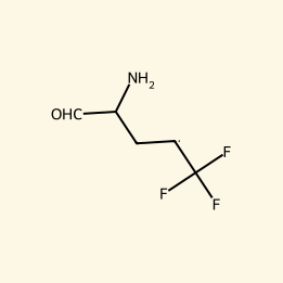 NC(C=O)C[CH]C(F)(F)F